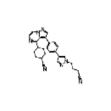 N#CCCCn1cc(-c2ccc(-c3cnn4ccnc(C5CCC(C#N)CC5)c34)cc2)cn1